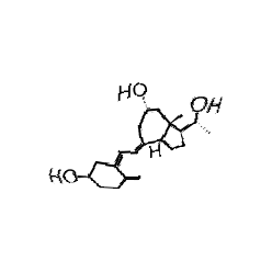 C=C1CC[C@@H](O)C/C1=C/C=C1\C[C@H](O)C[C@]2(C)[C@@H]([C@@H](C)O)CC[C@@H]12